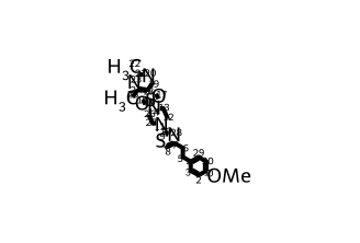 COc1ccc(CCc2csc(N3CCN(S(=O)(=O)c4cnc(C)nc4C)CC3)n2)cc1